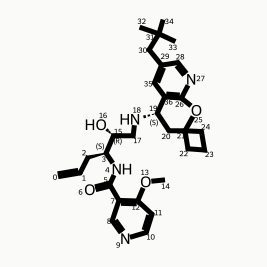 C=CC[C@H](NC(=O)c1cnccc1OC)[C@H](O)CN[C@H]1CC2(CCC2)Oc2ncc(CC(C)(C)C)cc21